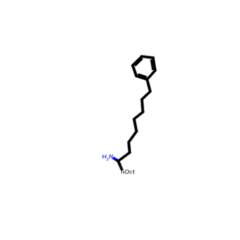 CCCCCCCCC(N)CCCCCCCc1ccccc1